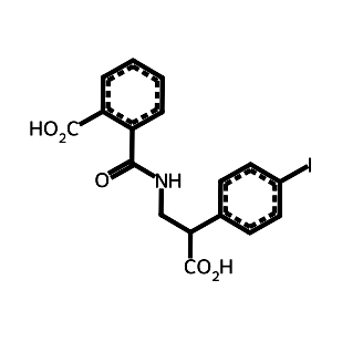 O=C(O)c1ccccc1C(=O)NCC(C(=O)O)c1ccc(I)cc1